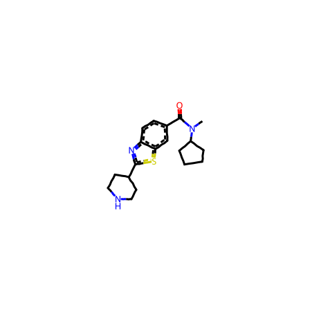 CN(C(=O)c1ccc2nc(C3CCNCC3)sc2c1)C1CCCC1